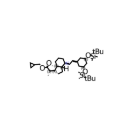 C[C@H](C(=O)OCC1CC1)[C@H]1CC[C@H]2/C(=C/C=C3C[C@@H](O[Si](C)(C)C(C)(C)C)C[C@H](O[Si](C)(C)C(C)(C)C)C3)CCC[C@]12C